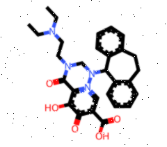 CCN(CC)CCN1CN(C2c3ccccc3CCc3ccccc32)n2cc(C(=O)O)c(=O)c(O)c2C1=O